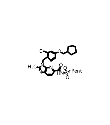 CCCCCS(=O)(=O)NC(=O)c1ccc2nc(C)n(Cc3ccc(OCC4CCCCC4)cc3Cl)c2n1